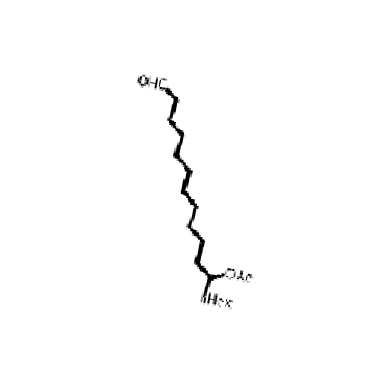 CCCCCCC(CCCCCCCCCCC=O)OC(C)=O